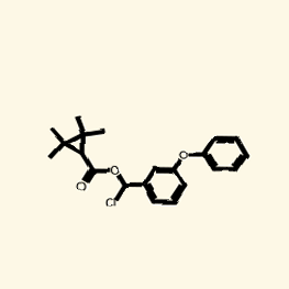 CC1(C)C(C(=O)OC(Cl)c2cccc(Oc3ccccc3)c2)C1(C)C